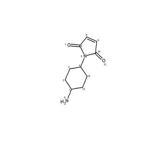 NC1CCC(N2C(=O)C=CC2=O)CC1